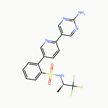 C[C@@H](NS(=O)(=O)c1ccccc1-c1ccc(-c2cnc(N)nc2)nc1)C(F)(F)F